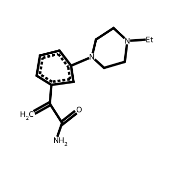 C=C(C(N)=O)c1cccc(N2CCN(CC)CC2)c1